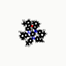 Cc1cc2c(cc1N1c3cc(N(c4ccc(C(C)(C)C)cc4)c4ccc(C(C)(C)C)cc4)cc4c3B3c5c1ccc1c5C(C)(c5cccc(C(C)(C)C)c5-1)c1c3c(cc3c1C(C)(C)CCC3(C)C)N4c1ccc3c(c1)C(C)(C)CCC3(C)C)C(C)(C)CCC2(C)C